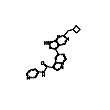 O=C(Nc1cccnc1)c1cnn2ccc(-c3c[nH]c4nc(CC5CCC5)ncc34)cc12